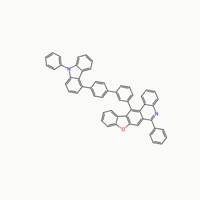 c1ccc(-c2nc3ccccc3c3c(-c4cccc(-c5ccc(-c6cccc7c6c6ccccc6n7-c6ccccc6)cc5)c4)c4c(cc23)oc2ccccc24)cc1